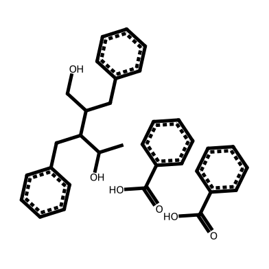 CC(O)C(Cc1ccccc1)C(CO)Cc1ccccc1.O=C(O)c1ccccc1.O=C(O)c1ccccc1